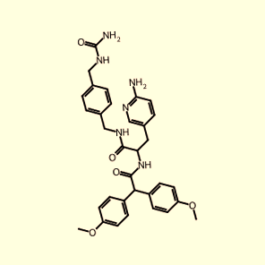 COc1ccc(C(C(=O)NC(Cc2ccc(N)nc2)C(=O)NCc2ccc(CNC(N)=O)cc2)c2ccc(OC)cc2)cc1